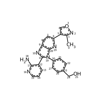 Cc1nocc1-c1ccc2nc(-c3cccnc3N)n(-c3ccc(CO)cc3)c2n1